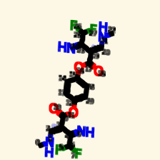 CN/C=C(\C(=N)C(F)F)C(=O)Oc1ccc(OC(=O)/C(=C/NC)C(=N)C(F)F)cc1